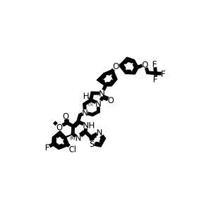 COC(=O)C1=C(CN2CCN3C(=O)N(c4ccc(Oc5ccc(OCC(F)(F)F)cc5)cc4)C[C@@H]3C2)NC(c2nccs2)=N[C@H]1c1ccc(F)cc1Cl